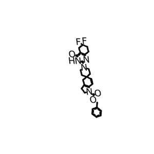 O=C(OCc1ccccc1)N1CCC2=C1C=CC1(CCN(c3nc4c(c(=O)[nH]3)CC(F)(F)CC4)CC1)C2